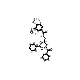 COc1ccc(C(=O)OCC(COC(=O)c2ccccc2)OC(=O)c2ccccc2)cc1OC